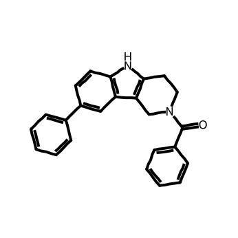 O=C(c1ccccc1)N1CCc2[nH]c3ccc(-c4ccccc4)cc3c2C1